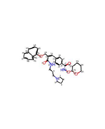 O=C(NCCCN1CCCC1)C(=Cc1ccc(C(=O)NOC2CCCCO2)cc1)COc1cccc2ccccc12